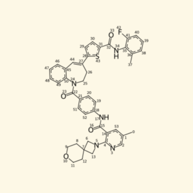 Cc1cnc(N2CC3(CCOCC3)C2)c(C(=O)Nc2ccc(C(=O)N3CCC(c4ccc(C(=O)Nc5c(C)cccc5F)s4)=Cc4ccccc43)cc2)c1